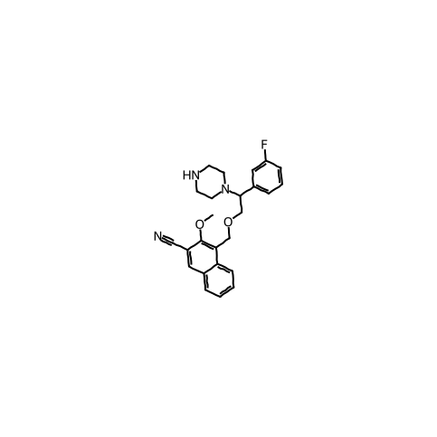 COc1c(C#N)cc2ccccc2c1COCC(c1cccc(F)c1)N1CCNCC1